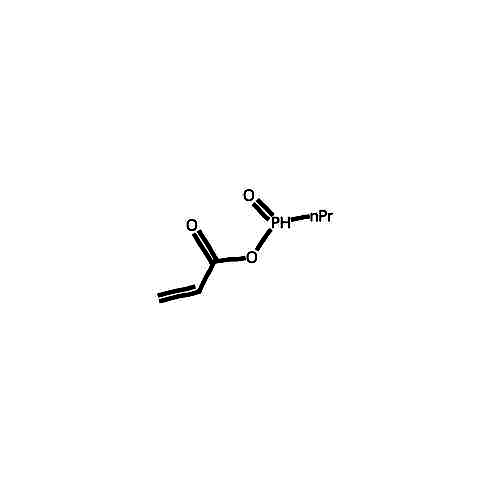 C=CC(=O)O[PH](=O)CCC